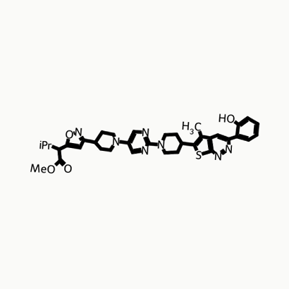 COC(=O)C(c1cc(C2CCN(c3cnc(N4CCC(c5sc6nnc(-c7ccccc7O)cc6c5C)CC4)nc3)CC2)no1)C(C)C